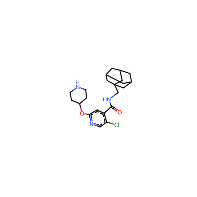 O=C(NCC12CC3CC(CC(C3)C1)C2)c1cc(OC2CCNCC2)ncc1Cl